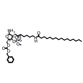 B[C@@H]1O[C@H](COC(=O)OCc2ccccc2)C(OP(O)(=S)OC)[C@@H]1C/C=C/CCCCNC(=O)CCCCCCCCCCCCCCC